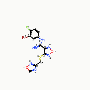 N=C(Nc1ccc(F)c(Br)c1)c1nonc1SCc1ncon1